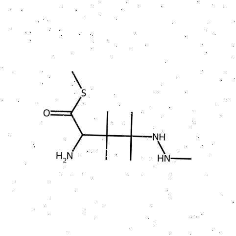 CNNC(C)(C)C(C)(C)C(N)C(=O)SC